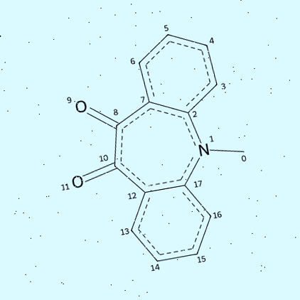 Cn1c2ccccc2c(=O)c(=O)c2ccccc21